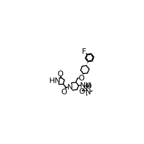 CN(C)S(=O)(=O)NC1CCN(C(=O)C2CNC(=O)C2)CC1CO[C@H]1CC[C@@H](c2cccc(F)c2)CC1